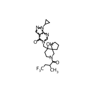 CC(CC(F)(F)F)C(=O)N1CCC(O)(Cn2cnc3c(cnn3C3CC3)c2=O)C2(CCCC2)C1